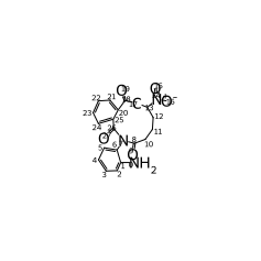 Nc1ccccc1N1C(=O)CCCC([N+](=O)[O-])CC(=O)c2ccccc2C1=O